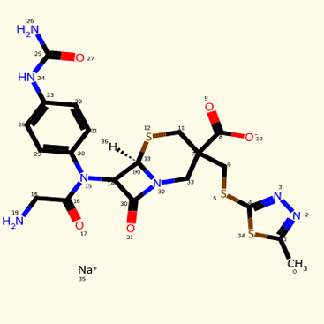 Cc1nnc(SCC2(C(=O)[O-])CS[C@@H]3C(N(C(=O)CN)c4ccc(NC(N)=O)cc4)C(=O)N3C2)s1.[Na+]